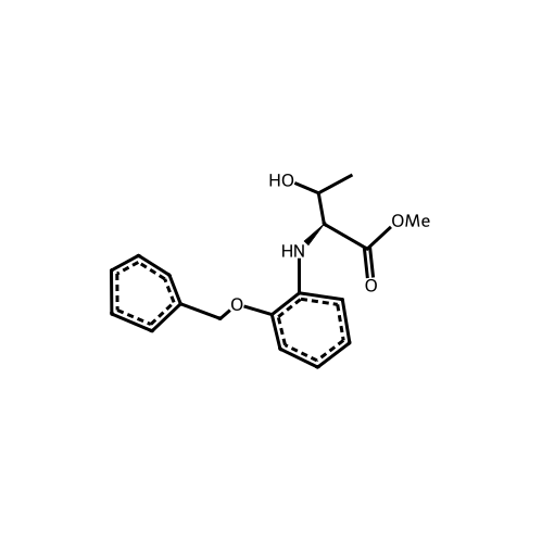 COC(=O)[C@@H](Nc1ccccc1OCc1ccccc1)C(C)O